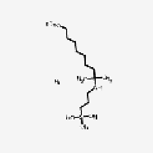 CCCCCCCCCCCCCCCCCC(C)(C)NCCC[Si](O)(O)O.I